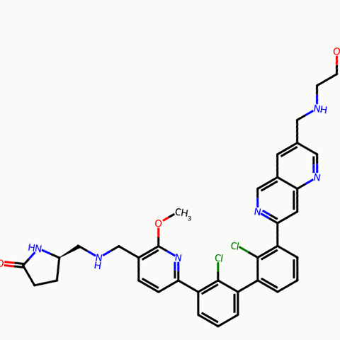 COc1nc(-c2cccc(-c3cccc(-c4cc5ncc(CNCCO)cc5cn4)c3Cl)c2Cl)ccc1CNC[C@H]1CCC(=O)N1